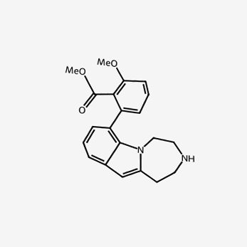 COC(=O)c1c(OC)cccc1-c1cccc2cc3n(c12)CCNCC3